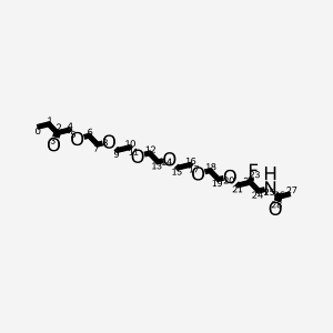 CCC(=O)COCCOCCOCCOCCOCCOCC(F)CNC(C)=O